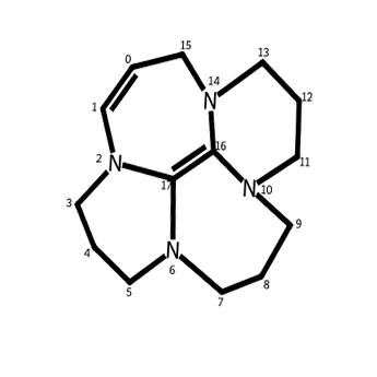 C1=CN2CCCN3CCCN4CCCN(C1)C4=C23